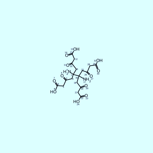 NC(CC(=O)CC(=O)O)(CC(=O)CC(=O)O)C(N)(CC(=O)CC(=O)O)CC(=O)CC(=O)O